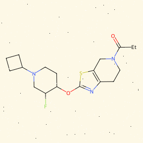 CCC(=O)N1CCc2nc(OC3CCN(C4CCC4)CC3F)sc2C1